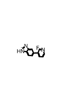 Fc1ncccc1-c1ccc2[nH][c]nc2c1